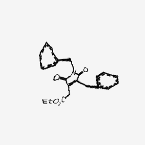 CCOC(=O)CC1=C(Cc2ccccc2)C(=O)N(Cc2ccccc2)C1=O